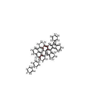 c1ccc(-c2ccc(-c3ccc(N(c4ccccc4-c4cccc5cccc(C6CCCCC6)c45)c4ccccc4-c4cccc5c4c4ccccc4n5-c4ccccc4)cc3)cc2)cc1